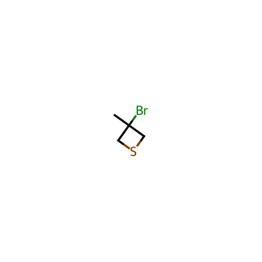 CC1(Br)CSC1